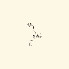 CCS[CH2][Sn+2][CH2]CCN.C[O-].C[O-]